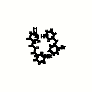 Brc1ccccc1CC1C=CCNC1.CCc1cccc(CCCC2=CCNCC2)c1